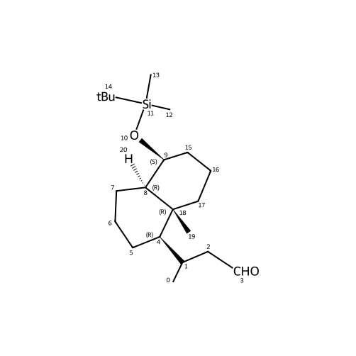 CC(CC=O)[C@H]1CCC[C@H]2[C@@H](O[Si](C)(C)C(C)(C)C)CCC[C@]12C